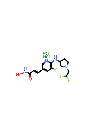 Cl.Cl.O=C(/C=C/c1cnc(NC2CCN(CC(F)F)C2)c(F)c1)NO